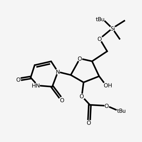 CC(C)(C)OC(=O)OC1C(O)C(CO[Si](C)(C)C(C)(C)C)OC1n1ccc(=O)[nH]c1=O